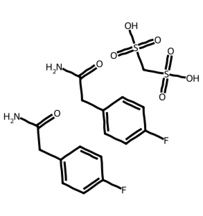 NC(=O)Cc1ccc(F)cc1.NC(=O)Cc1ccc(F)cc1.O=S(=O)(O)CS(=O)(=O)O